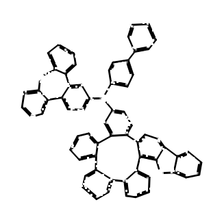 c1ccc(-c2ccc(N(c3ccc4c(c3)-c3ccccc3Oc3ccccc3-4)c3ccc4c(c3)c3ccccc3c3ccccc3c3ccccc3c3c4ccc4c5ccccc5oc43)cc2)cc1